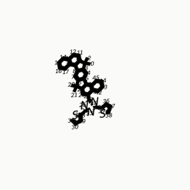 CC1(C)c2cc3c(cc2-c2c1ccc1ccccc21)C(C)(C)c1cc(-c2nc(-c4cccs4)nc(-c4cccs4)n2)c2ccccc2c1-3